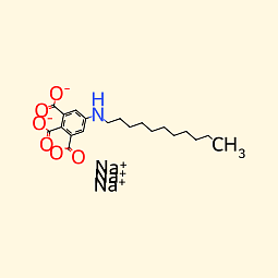 CCCCCCCCCCCNc1cc(C(=O)[O-])c(C(=O)[O-])c(C(=O)[O-])c1.[Na+].[Na+].[Na+]